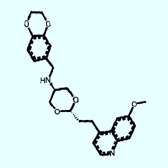 COc1ccc2nccc(CC[C@H]3OC[C@H](NCc4ccc5c(c4)OCCO5)CO3)c2c1